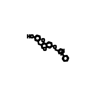 O=c1c(Cc2cccc(O)c2)coc2cc(OCc3cnn(-c4ccccc4)c3)ccc12